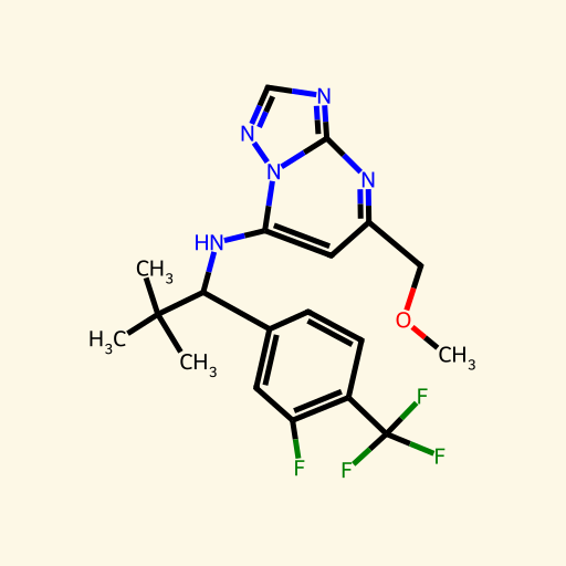 COCc1cc(NC(c2ccc(C(F)(F)F)c(F)c2)C(C)(C)C)n2ncnc2n1